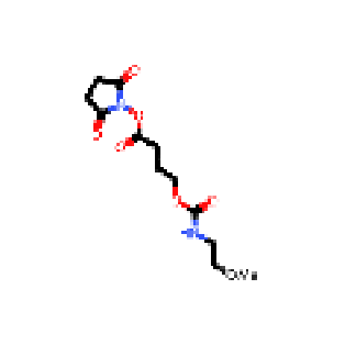 COCCNC(=O)OCCCC(=O)ON1C(=O)CCC1=O